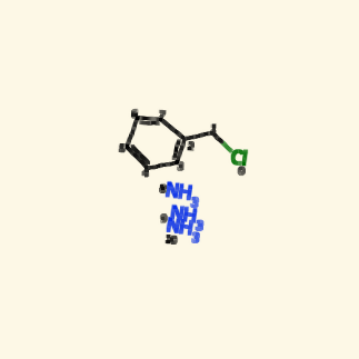 ClCc1ccccc1.N.N.N